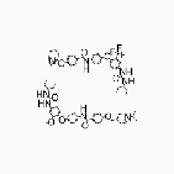 CCC(CC)NC(=O)Nc1ccc(Oc2ccc(NC(=O)c3ccc(OC45CCCC(CC4)N5C)cc3)cc2)c(C(F)(F)F)c1.CCC(CC)NC(=O)Nc1ccc(Oc2ccc(NC(=O)c3ccc(OCC4CCN(C(C)C)CC4)cc3)cc2)c(OC)c1